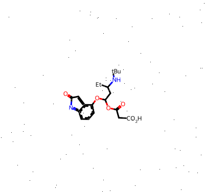 CCC(CC(OC(=O)CC(=O)O)Oc1cccc2c1=CC(=O)N=2)NC(C)(C)C